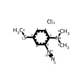 CSc1ccc(N(C)C)c([N+]#N)c1.[Cl-]